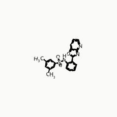 Cc1cc(C)cc(S(=O)(=O)Nc2ccccc2-c2nc3ncccc3o2)c1